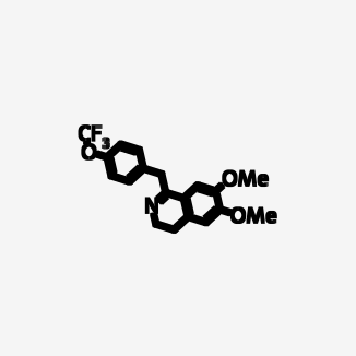 COc1cc2c(cc1OC)C(Cc1ccc(OC(F)(F)F)cc1)=NCC2